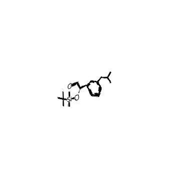 CC(C)Cc1cccc([C@@H](C=O)O[Si](C)(C)C(C)(C)C)c1